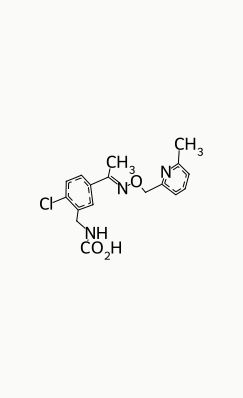 C/C(=N\OCc1cccc(C)n1)c1ccc(Cl)c(CNC(=O)O)c1